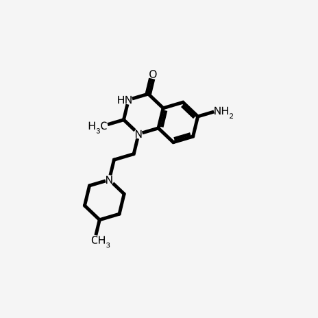 CC1CCN(CCN2c3ccc(N)cc3C(=O)NC2C)CC1